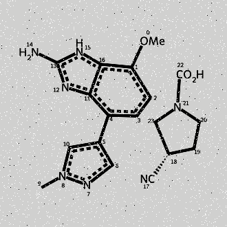 COc1ccc(-c2cnn(C)c2)c2nc(N)[nH]c12.N#C[C@H]1CCN(C(=O)O)C1